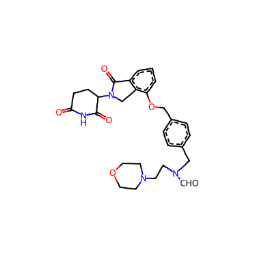 O=CN(CCN1CCOCC1)Cc1ccc(COc2cccc3c2CN(C2CCC(=O)NC2=O)C3=O)cc1